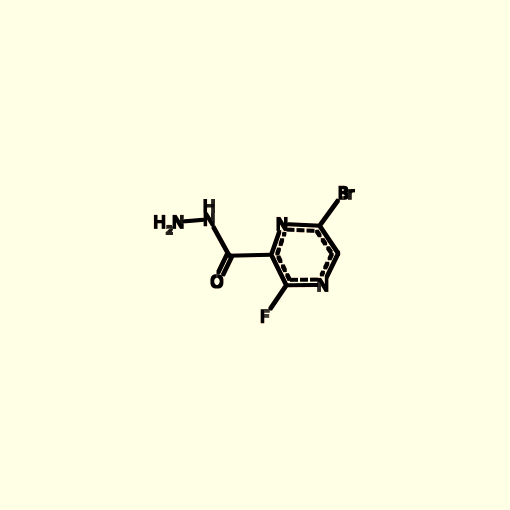 NNC(=O)c1nc(Br)cnc1F